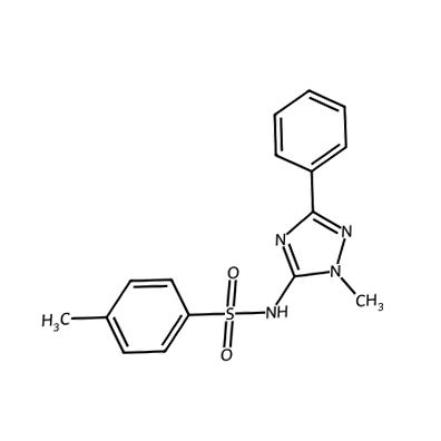 Cc1ccc(S(=O)(=O)Nc2nc(-c3ccccc3)nn2C)cc1